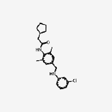 Cc1cc(CNc2cccc(Cl)c2)cc(C)c1NC(=O)CC1CCCC1